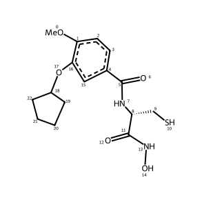 COc1ccc(C(=O)N[C@H](CS)C(=O)NO)cc1OC1CCCC1